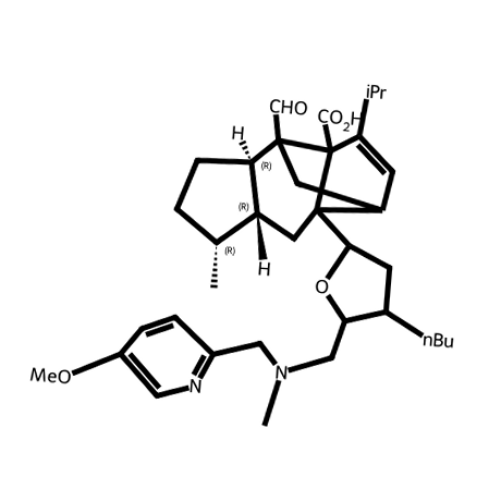 CCCCC1CC(C23C[C@@H]4[C@H](C)CC[C@H]4C4(C=O)CC2C=C(C(C)C)C34C(=O)O)OC1CN(C)Cc1ccc(OC)cn1